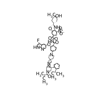 CC(C)C(=O)N1CCN(N2CC3(CCN(c4ccc(C(=O)NS(=O)(=O)c5cc6c(c([N+](=O)[O-])c5)N[C@@H]([C@H]5CC[C@](C)(O)CC5)CO6)c(Oc5cnc6[nH]cc(F)c6c5)c4)CC3)C2)[C@@H](c2ccccc2C(C)C)C1